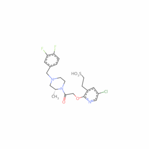 C[C@@H]1CN(Cc2ccc(F)c(F)c2)CCN1C(=O)COc1ncc(Cl)cc1CCS(=O)(=O)O